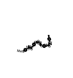 C#Cc1ccc(-c2nc(C)c(C(=O)NCc3ccc(OC(C)(C)C(=O)OC(=O)C(C)(C)Oc4ccc(CNC(=O)c5sc(-c6ccc(OC)cc6)nc5C)cc4)cc3)s2)cc1